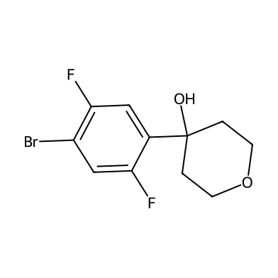 OC1(c2cc(F)c(Br)cc2F)CCOCC1